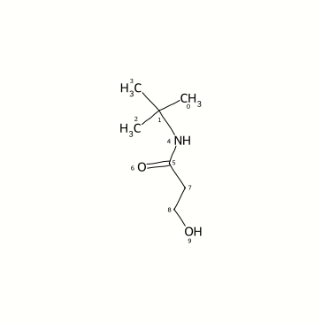 CC(C)(C)NC(=O)CCO